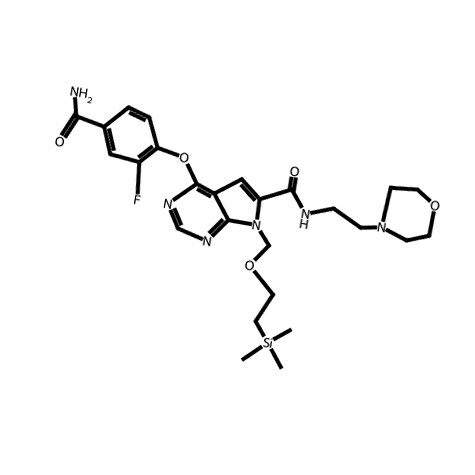 C[Si](C)(C)CCOCn1c(C(=O)NCCN2CCOCC2)cc2c(Oc3ccc(C(N)=O)cc3F)ncnc21